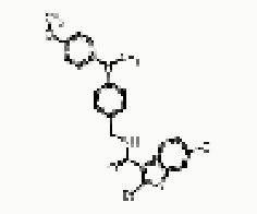 CCc1nc2cc(Cl)ccn2c1C(=O)NCc1ccc(N(C)c2ccc(OC(F)(F)F)cc2)cc1